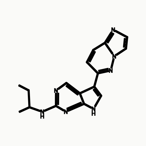 CCC(C)Nc1ncc2c(-c3ccc4nccn4n3)c[nH]c2n1